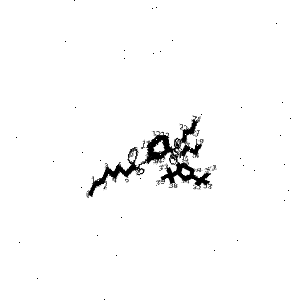 CCCCCCCC(=O)Sc1cccc([Si](CCCC)(OCCCC)Oc2ccc(C(C)(C)C)cc2C(C)(C)C)c1